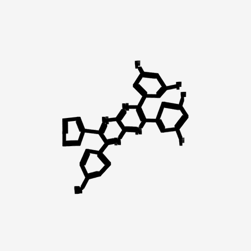 Fc1cc(F)cc(-c2nc3nc(-c4ccccc4)c(-c4ccc(Br)cc4)nc3nc2-c2cc(F)cc(F)c2)c1